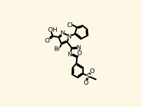 CS(=O)(=O)c1cccc(-c2nc(-c3c(Br)c(C(=O)O)nn3-c3ccccc3Cl)no2)c1